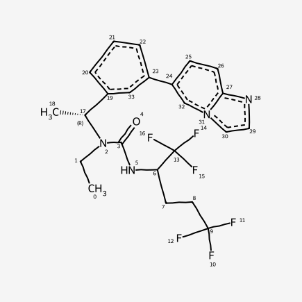 CCN(C(=O)NC(CCC(F)(F)F)C(F)(F)F)[C@H](C)c1cccc(-c2ccc3nccn3c2)c1